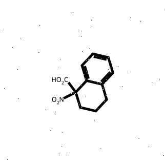 O=C(O)C1([N+](=O)[O-])CCCc2ccccc21